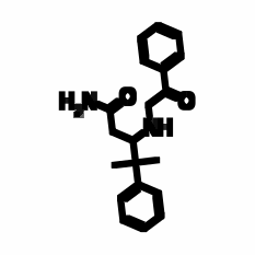 CC(C)(c1ccccc1)C(CC(N)=O)NCC(=O)c1ccccc1